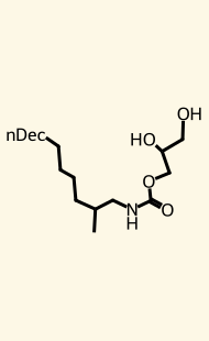 CCCCCCCCCCCCCCC(C)CNC(=O)OCC(O)CO